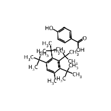 Cc1cc(C(C)(C)C)c(C(C)(C)C)c(C(C)(C)C)c1C(C)(C)C.O=C(O)c1ccc(O)cc1